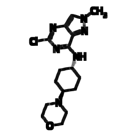 Cn1cc2nc(Cl)nc(N[C@H]3CC[C@H](N4CCOCC4)CC3)c2n1